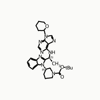 C[C@H](Nc1ncnc2c1ncn2C1CCCCO1)c1nc2ccccc2n1[C@@H]1CCCN(C(=O)OC(C)(C)C)C1